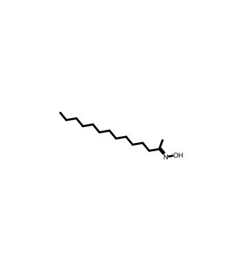 CCCCCCCCCCCC/C(C)=N/O